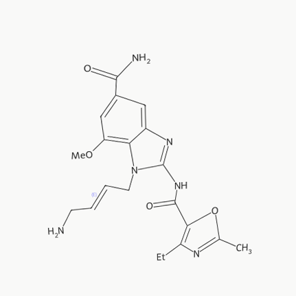 CCc1nc(C)oc1C(=O)Nc1nc2cc(C(N)=O)cc(OC)c2n1C/C=C/CN